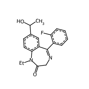 CCN1C(=O)CN=C(c2ccccc2F)c2cc(C(C)O)ccc21